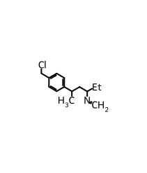 C=NC(CC)CC(C)c1ccc(CCl)cc1